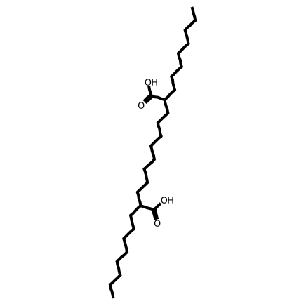 CCCCCCCCC(CCCCCCCCC(CCCCCCCC)C(=O)O)C(=O)O